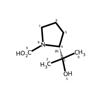 CC(C)(O)[C@H]1CCCN1C(=O)O